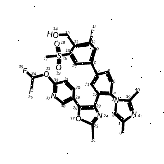 Cc1cn(-c2ccc(-c3cc(F)c(CO)c(S(C)(=O)=O)c3)cc2-c2nc(C)oc2-c2ccc(OC(F)F)nc2)c(C)n1